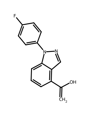 C=C(O)c1cccc2c1cnn2-c1ccc(F)cc1